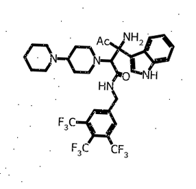 CC(=O)C(N)(c1c[nH]c2ccccc12)C(C(=O)NCc1cc(C(F)(F)F)c(C(F)(F)F)c(C(F)(F)F)c1)N1CCC(N2CCCCC2)CC1